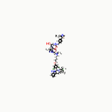 Cc1ncsc1-c1ccc(CNC(=O)[C@@H]2C[C@@H](O)CN2C(=O)C(NC(=O)CN(C)CCCCCOc2cc(F)c([C@@H]3c4[nH]c5ccccc5c4C[C@@H](C)N3CC(C)(C)F)c(F)c2)C(C)(C)C)cc1